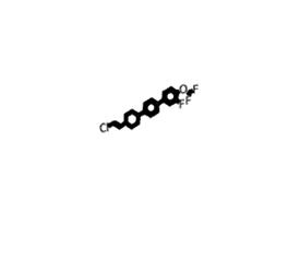 Fc1cc(-c2ccc(C3CCC(/C=C/Cl)CC3)cc2)ccc1OC(F)F